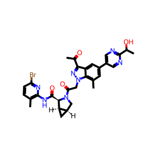 CC(=O)c1nn(CC(=O)N2C[C@H]3C[C@H]3[C@H]2C(=O)Nc2nc(Br)ccc2C)c2c(C)cc(-c3cnc(C(C)O)nc3)cc12